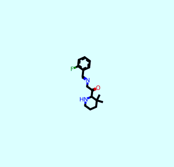 CC1(C)CCCNC1C(=O)CN=Cc1ccccc1F